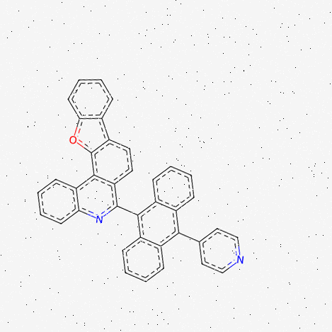 c1ccc2c(c1)nc(-c1c3ccccc3c(-c3ccncc3)c3ccccc13)c1ccc3c4ccccc4oc3c12